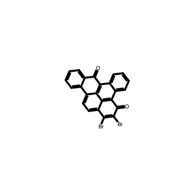 O=C1C(Br)=C(Br)c2ccc3c4c(c5ccccc5c1c24)C(=O)c1ccccc1-3